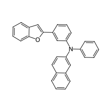 c1ccc(N(c2cccc(-c3cc4ccccc4o3)c2)c2ccc3ccccc3c2)cc1